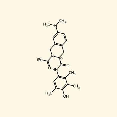 Cc1cc(NC(=O)[C@@H]2Cc3ccc(N(C)C)cc3CN2C(=O)C(C)C)c(C)c(C)c1O